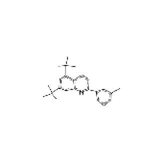 Cc1cccc(-c2ccc3c(C(C)(C)C)cc(C(C)(C)C)cc3n2)c1